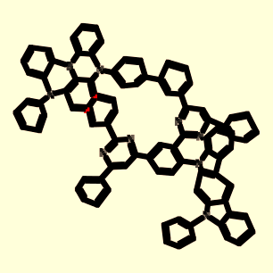 c1ccc(-c2cc(-c3ccc(-n4c5ccccc5c5cc6c7ccccc7n(-c7ccccc7)c6cc54)c(-c4nc(-c5ccccc5)cc(-c5cccc(-c6ccc(N7c8ccccc8B8c9ccccc9N(c9ccccc9)c9cccc7c98)cc6)c5)n4)c3)nc(-c3ccccc3)n2)cc1